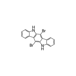 Brc1c2[nH]c3ccccc3c2c(Br)c2[nH]c3ccccc3c12